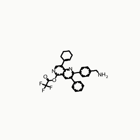 NCc1ccc(-c2nc3c(C4=CCCCC4)cnc(OC(=O)C(F)(F)F)c3cc2-c2ccccc2)cc1